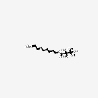 CCCCCCCCCCCCCCCCCCOC(=O)C(O)(O)C(O)(O)O